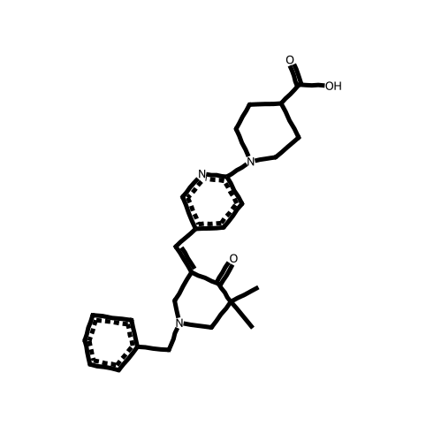 CC1(C)CN(Cc2ccccc2)CC(=Cc2ccc(N3CCC(C(=O)O)CC3)nc2)C1=O